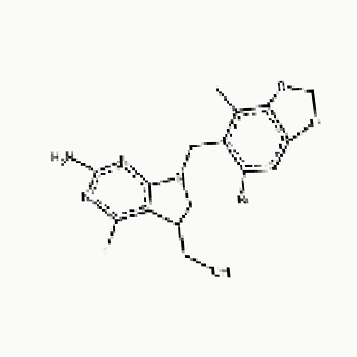 Cc1c(CN2CC(CO)c3c(Cl)nc(N)nc32)c(Br)cc2c1OCO2